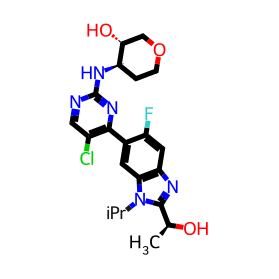 CC(C)n1c([C@H](C)O)nc2cc(F)c(-c3nc(N[C@@H]4CCOC[C@H]4O)ncc3Cl)cc21